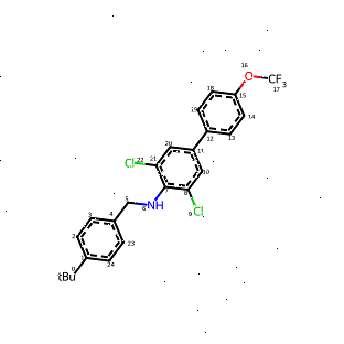 CC(C)(C)c1ccc(CNc2c(Cl)cc(-c3ccc(OC(F)(F)F)cc3)cc2Cl)cc1